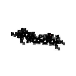 C=C1c2cc(C(c3ccc4c(=C)n(C(C)(C)C)c(=C)c4c3)(C(F)(F)F)C(F)(F)F)ccc2CN1c1ccc(-c2ccc(C(C)(C)C)cc2C(F)(F)F)c(C(F)(F)F)c1